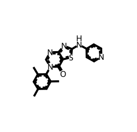 Cc1cc(C)c(-n2cnc3nc(Nc4ccncc4)sc3c2=O)c(C)c1